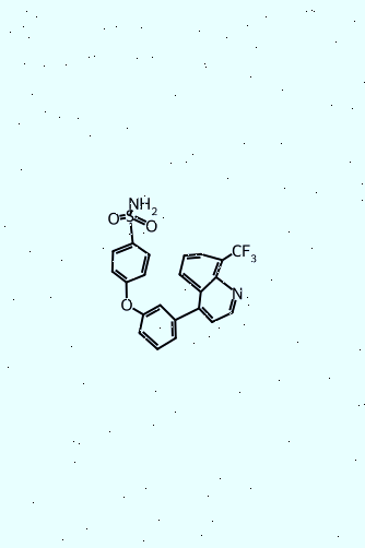 NS(=O)(=O)c1ccc(Oc2cccc(-c3ccnc4c(C(F)(F)F)cccc34)c2)cc1